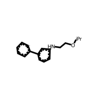 CC(C)OCCNc1cccc(-c2[c]cccc2)c1